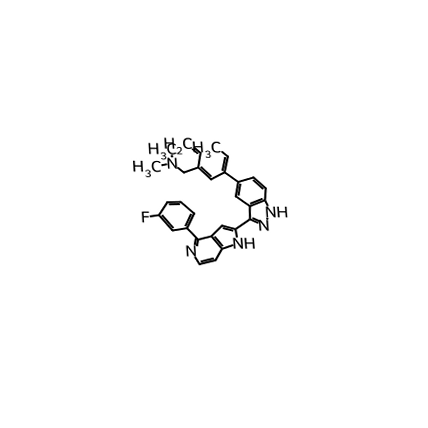 C=C/C(=C\C(=C/C)c1ccc2[nH]nc(-c3cc4c(-c5cccc(F)c5)nccc4[nH]3)c2c1)CN(C)C